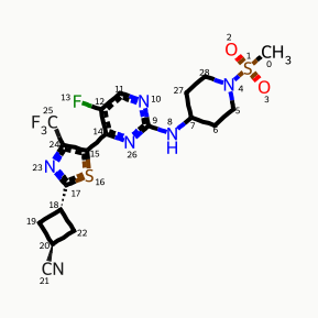 CS(=O)(=O)N1CCC(Nc2ncc(F)c(-c3sc([C@H]4C[C@H](C#N)C4)nc3C(F)(F)F)n2)CC1